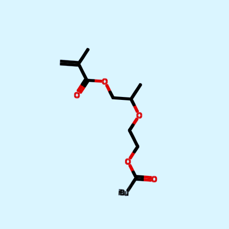 C=C(C)C(=O)OCC(C)OCCOC(=O)C(C)CC